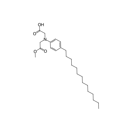 CCCCCCCCCCCCCCc1ccc(N(CC(=O)O)CC(=O)OC)cc1